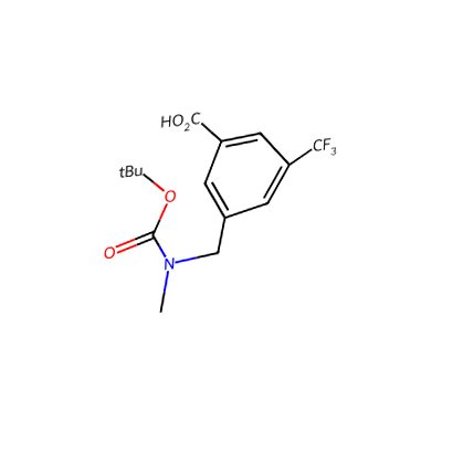 CN(Cc1cc(C(=O)O)cc(C(F)(F)F)c1)C(=O)OC(C)(C)C